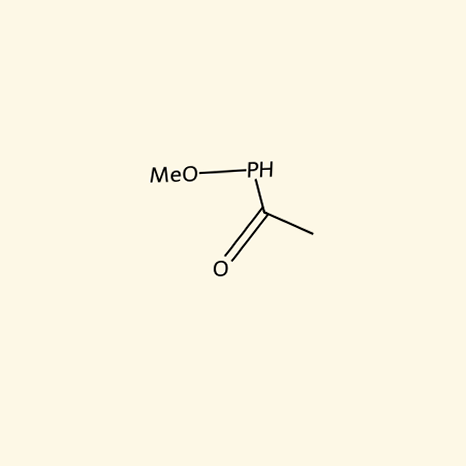 COPC(C)=O